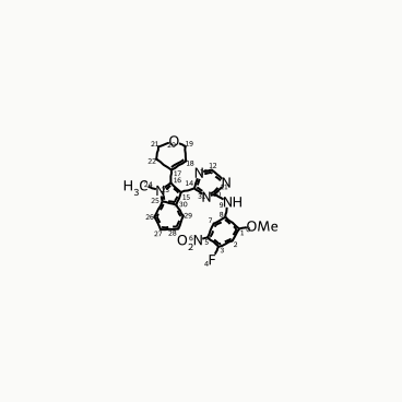 COc1cc(F)c([N+](=O)[O-])cc1Nc1ncnc(-c2c(C3=CCOCC3)n(C)c3ccccc23)n1